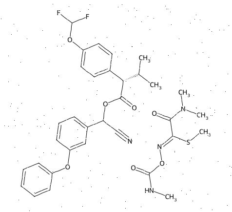 CC(C)[C@H](C(=O)OC(C#N)c1cccc(Oc2ccccc2)c1)c1ccc(OC(F)F)cc1.CNC(=O)ON=C(SC)C(=O)N(C)C